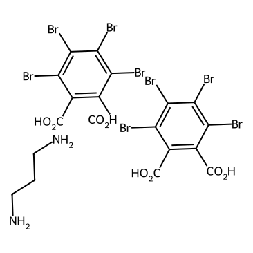 NCCCN.O=C(O)c1c(Br)c(Br)c(Br)c(Br)c1C(=O)O.O=C(O)c1c(Br)c(Br)c(Br)c(Br)c1C(=O)O